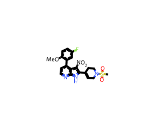 COc1ccc(F)cc1-c1ccnc2[nH]c(C3=CCN(S(C)(=O)=O)CC3)c([N+](=O)[O-])c12